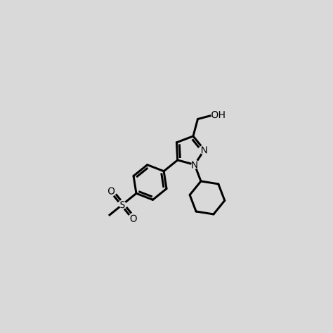 CS(=O)(=O)c1ccc(-c2cc(CO)nn2C2CCCCC2)cc1